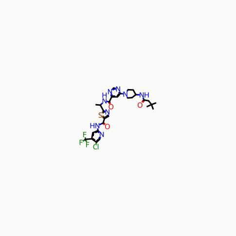 CC(NC(=O)c1cc(N2CCC(NC(=O)CC(C)(C)C)CC2)ncn1)c1ncc(C(=O)Nc2cc(C(F)(F)F)c(Cl)cn2)s1